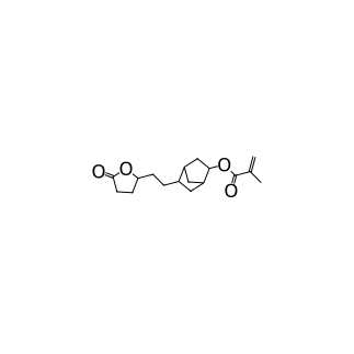 C=C(C)C(=O)OC1CC2CC1CC2CCC1CCC(=O)O1